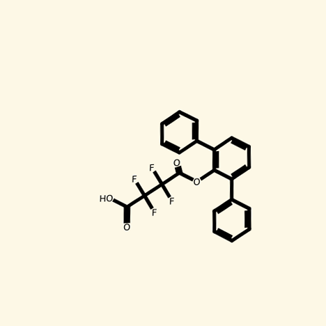 O=C(O)C(F)(F)C(F)(F)C(=O)Oc1c(-c2ccccc2)cccc1-c1ccccc1